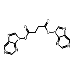 O=C(CCC(=O)On1cnc2cncnc21)On1cnc2cncnc21